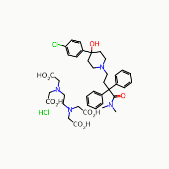 CN(C)C(=O)C(CCN1CCC(O)(c2ccc(Cl)cc2)CC1)(c1ccccc1)c1ccccc1.Cl.O=C(O)CN(CCN(CC(=O)O)CC(=O)O)CC(=O)O